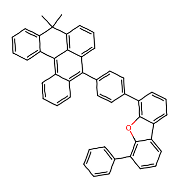 CC1(C)c2ccccc2-c2c3ccccc3c(-c3ccc(-c4cccc5c4oc4c(-c6ccccc6)cccc45)cc3)c3cccc1c23